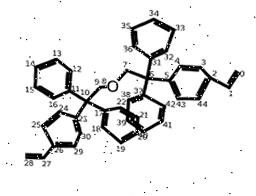 C=Cc1ccc(C(COCC(c2ccccc2)(c2ccccc2)c2ccc(C=C)cc2)(c2ccccc2)c2ccccc2)cc1